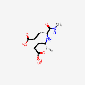 CNC(=O)[C@@H](CCC(=O)O)N[C@H](C)CCC(=O)O